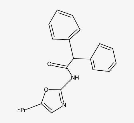 CCCc1cnc(NC(=O)C(c2ccccc2)c2ccccc2)o1